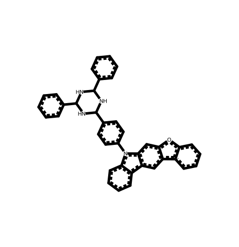 c1ccc(C2NC(c3ccccc3)NC(c3ccc(-n4c5ccccc5c5cc6c(cc54)oc4ccccc46)cc3)N2)cc1